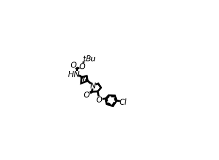 CC(C)(C)OC(=O)NC12CC(N3CCC(Oc4ccc(Cl)cc4)C3=O)(C1)C2